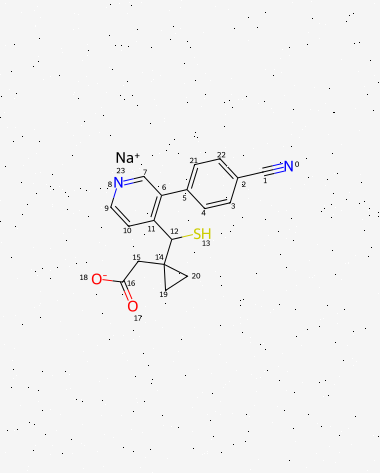 N#Cc1ccc(-c2cnccc2C(S)C2(CC(=O)[O-])CC2)cc1.[Na+]